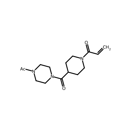 C=CC(=O)N1CCC(C(=O)N2CCN(C(C)=O)CC2)CC1